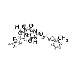 Cc1ccccc1OCCCOc1nc2c(=O)n(C)c(=O)n(CCCC3(F)CC3)c2c(=O)[nH]1